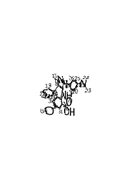 COc1ccc(Nc2c(-c3ccsc3)c(C)nn2-c2ccc(N(C)C)cc2)c(C(=O)O)c1